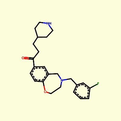 O=C(CCC1CCNCC1)c1ccc2c(c1)CN(Cc1cccc(F)c1)CCO2